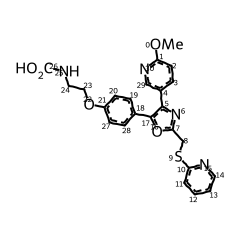 COc1ccc(-c2nc(CSc3ccccn3)oc2-c2ccc(OCCNC(=O)O)cc2)cn1